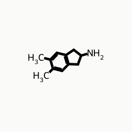 Cc1cc2c(cc1C)CC(N)C2